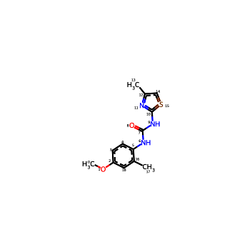 COc1ccc(NC(=O)Nc2nc(C)cs2)c(C)c1